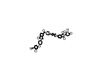 N#Cc1ccc(O[C@H]2CC[C@H](N3Cc4cc(C(=O)N5CCN(C6CC7(C6)CN(c6ccc8c(c6)C(=O)N(C6CCC(=O)NC6=O)C8=O)C7)CC5)ccc4C3=O)CC2)cc1Cl